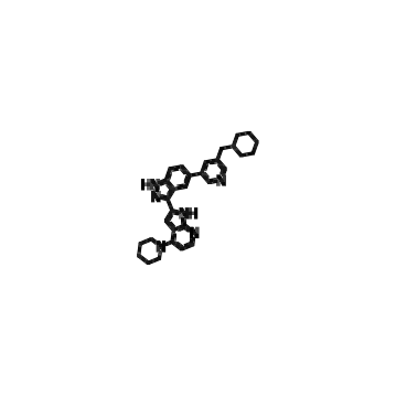 c1cc(N2CCCCC2)c2cc(-c3n[nH]c4ccc(-c5cncc(CC6CCCCC6)c5)cc34)[nH]c2n1